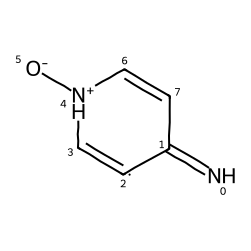 N=C1[C]=C[NH+]([O-])C=C1